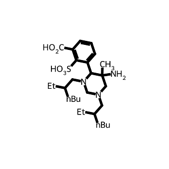 CCCCC(CC)CN1CN(CC(CC)CCCC)C(c2cccc(C(=O)O)c2S(=O)(=O)O)C(C)(N)C1